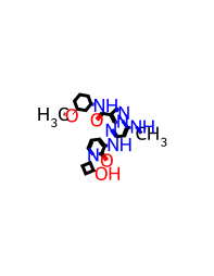 CNc1cc(Nc2cccn([C@H]3CC[C@@H]3O)c2=O)nc2c(C(=O)NC3CCC[C@@H](OC)C3)cnn12